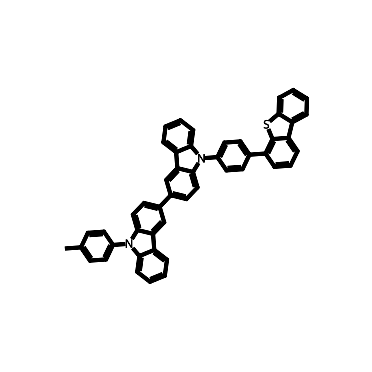 Cc1ccc(-n2c3ccccc3c3cc(-c4ccc5c(c4)c4ccccc4n5-c4ccc(-c5cccc6c5sc5ccccc56)cc4)ccc32)cc1